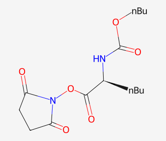 CCCCOC(=O)N[C@@H](CCCC)C(=O)ON1C(=O)CCC1=O